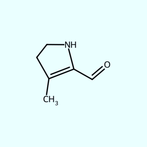 CC1=C(C=O)NCC1